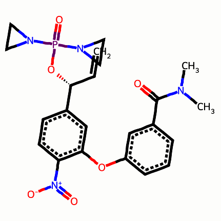 C=C[C@@H](OP(=O)(N1CC1)N1CC1)c1ccc([N+](=O)[O-])c(Oc2cccc(C(=O)N(C)C)c2)c1